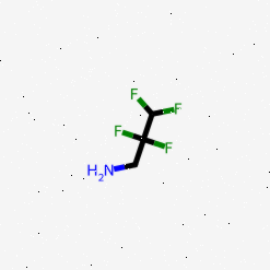 NCC(F)(F)C(F)F